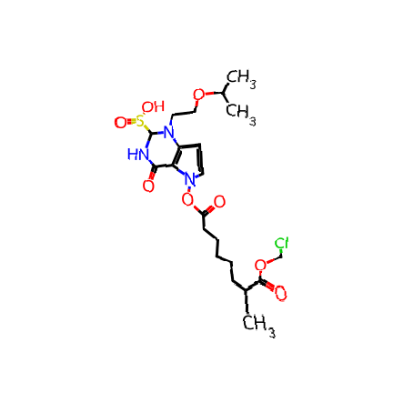 CC(C)OCCN1c2ccn(OC(=O)CCCCCC(C)C(=O)OCCl)c2C(=O)NC1S(=O)O